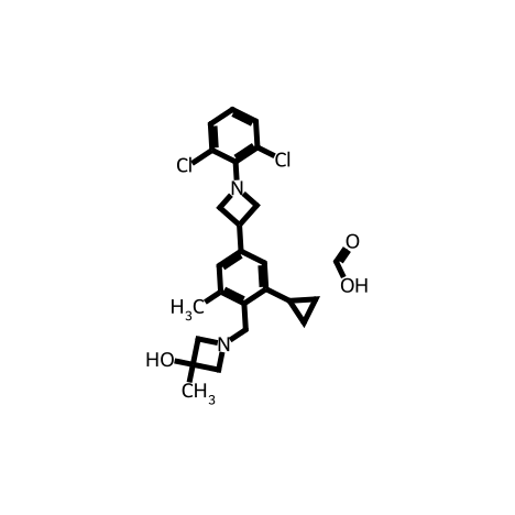 Cc1cc(C2CN(c3c(Cl)cccc3Cl)C2)cc(C2CC2)c1CN1CC(C)(O)C1.O=CO